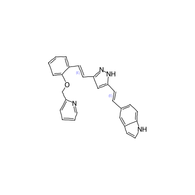 C(=C\c1cc(/C=C/c2ccccc2OCc2ccccn2)n[nH]1)/c1ccc2[nH]ccc2c1